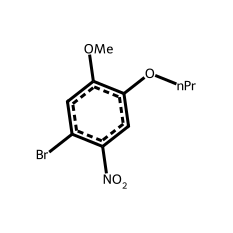 [CH2]CCOc1cc([N+](=O)[O-])c(Br)cc1OC